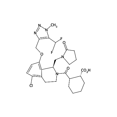 Cn1nnc(COc2ccc(Cl)c3c2[C@@H](CN2CCCC2=O)N(C(=O)C2CCCC[C@H]2C(=O)O)CC3)c1C(F)F